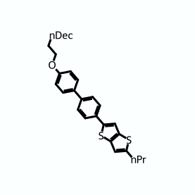 CCCCCCCCCCCCOc1ccc(-c2ccc(-c3cc4sc(CCC)cc4s3)cc2)cc1